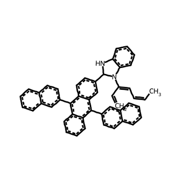 C=C/C(=C\C=C/C)N1c2ccccc2NC1c1ccc2c(-c3ccc4ccccc4c3)c3ccccc3c(-c3ccc4ccccc4c3)c2c1